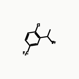 CC(C)C(C)c1cc(C(F)(F)F)ccc1Cl